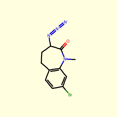 CN1C(=O)C(N=[N+]=[N-])CCc2ccc(Br)cc21